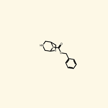 O=C(OCc1ccccc1)N1C2CNCC1SC2